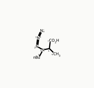 CCCCN(N=[N+]=[N-])C(C)C(=O)O